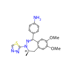 COc1cc2c(cc1OC)C(c1ccc(N)cc1)=NN(c1nncs1)[C@H](C)C2